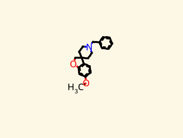 COc1ccc2c(c1)OCC21CCN(Cc2ccccc2)CC1